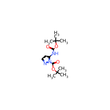 CC(C)(C)OC(=O)Nc1ccnn1C(=O)OC(C)(C)C